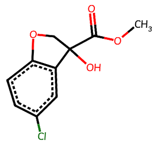 COC(=O)C1(O)COc2ccc(Cl)cc21